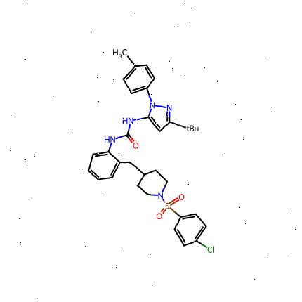 Cc1ccc(-n2nc(C(C)(C)C)cc2NC(=O)Nc2ccccc2CC2CCN(S(=O)(=O)c3ccc(Cl)cc3)CC2)cc1